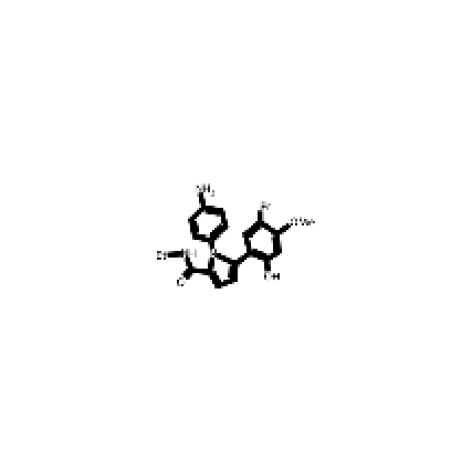 CCNC(=O)c1ccc(-c2cc(C(C)C)c(OC)cc2O)n1-c1ccc(N)cc1